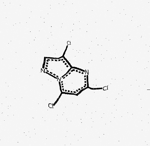 Clc1cc(Cl)n2ncc(Cl)c2n1